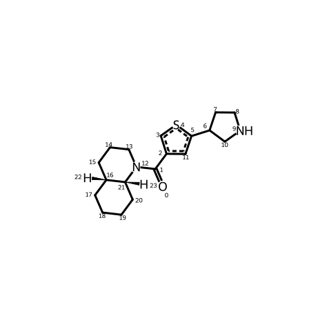 O=C(c1csc(C2CCNC2)c1)N1CCC[C@H]2CCCC[C@H]21